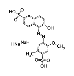 COc1cc(S(=O)(=O)O)c(C)cc1/N=N/c1c(O)ccc2cc(S(=O)(=O)O)ccc12.[NaH].[NaH]